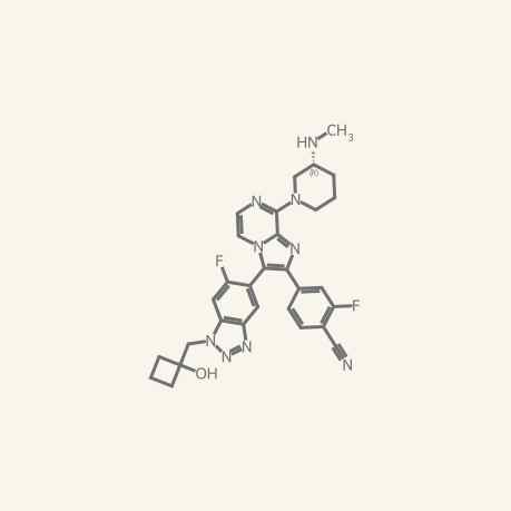 CN[C@@H]1CCCN(c2nccn3c(-c4cc5nnn(CC6(O)CCC6)c5cc4F)c(-c4ccc(C#N)c(F)c4)nc23)C1